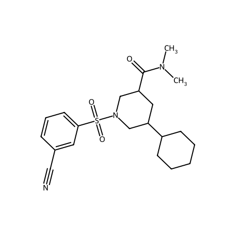 CN(C)C(=O)C1CC(C2CCCCC2)CN(S(=O)(=O)c2cccc(C#N)c2)C1